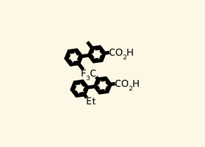 CCc1ccccc1-c1ccc(C(=O)O)cc1C(F)(F)F.Cc1ccccc1-c1ccc(C(=O)O)cc1C